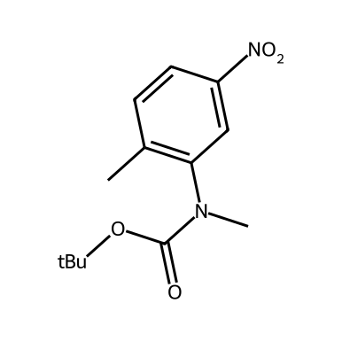 Cc1ccc([N+](=O)[O-])cc1N(C)C(=O)OC(C)(C)C